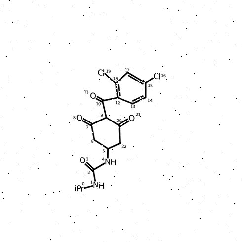 CC(C)NC(=O)NC1CC(=O)C(C(=O)c2ccc(Cl)cc2Cl)C(=O)C1